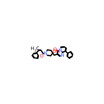 C[C@H](CC(=O)N1CCC(O)(Cc2cnc3c(-c4ccccc4)cccn3c2=O)CC1)c1ccccc1